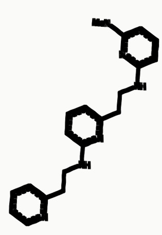 CNc1cccc(NCCc2cccc(NCCc3ccccn3)n2)n1